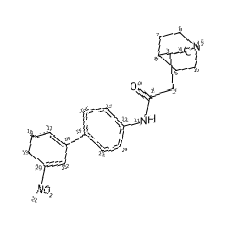 O=C(CC1CN2CCC1CC2)Nc1ccc(C2=CCCC([N+](=O)[O-])=C2)cc1